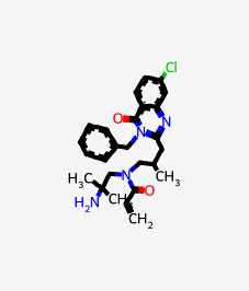 C=CC(=O)N(CC(C)Cc1nc2cc(Cl)ccc2c(=O)n1Cc1ccccc1)CC(C)(C)N